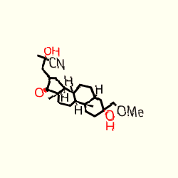 COC[C@@]1(O)CC[C@@]2(C)[C@H](CC[C@@H]3[C@@H]2CC[C@]2(C)C(=O)C(CC(C)(O)C#N)C[C@@H]32)C1